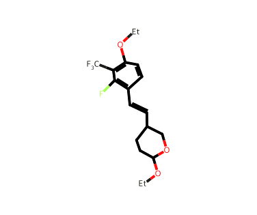 CCOc1ccc(/C=C/C2CCC(OCC)OC2)c(F)c1C(F)(F)F